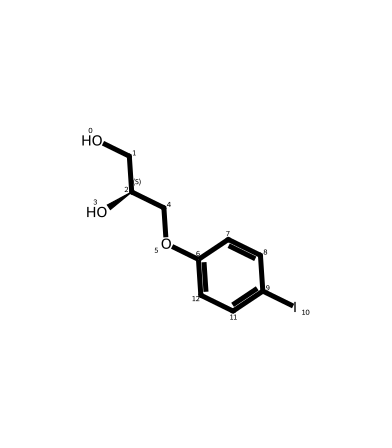 OC[C@H](O)COc1ccc(I)cc1